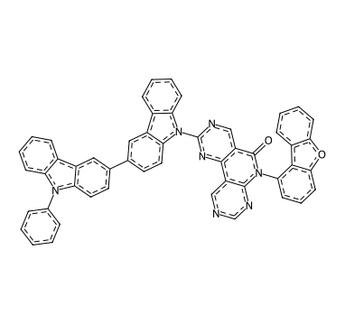 O=c1c2cnc(-n3c4ccccc4c4cc(-c5ccc6c(c5)c5ccccc5n6-c5ccccc5)ccc43)nc2c2cncnc2n1-c1cccc2oc3ccccc3c12